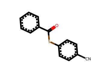 N#Cc1ccc(SC(=O)c2ccccc2)cc1